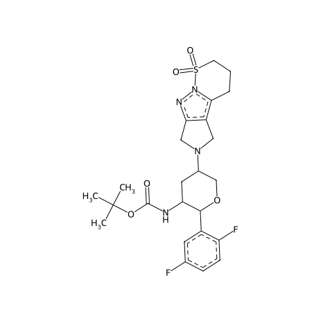 CC(C)(C)OC(=O)NC1CC(N2Cc3nn4c(c3C2)CCCS4(=O)=O)COC1c1cc(F)ccc1F